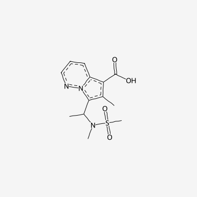 Cc1c(C(=O)O)c2cccnn2c1C(C)N(C)S(C)(=O)=O